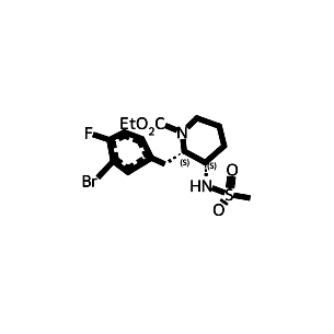 CCOC(=O)N1CCC[C@H](NS(C)(=O)=O)[C@@H]1Cc1ccc(F)c(Br)c1